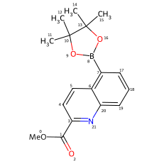 COC(=O)c1ccc2c(B3OC(C)(C)C(C)(C)O3)cccc2n1